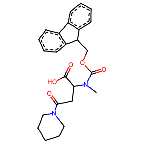 CN(C(=O)OCC1c2ccccc2-c2ccccc21)C(CC(=O)N1CCCCC1)C(=O)O